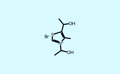 Cc1c(C(C)O)sc[n+]1C(C)O.[Br-]